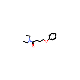 CCN(CC)C(=O)CCCOc1[c]cccc1